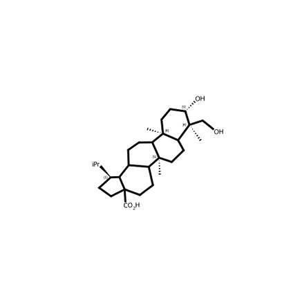 CC(C)[C@@H]1CCC2(C(=O)O)CCC3C(CCC4[C@@]3(C)CCC3[C@]4(C)CC[C@H](O)[C@@]3(C)CO)C12